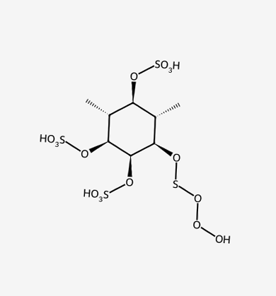 C[C@@H]1[C@@H](OS(=O)(=O)O)[C@H](C)[C@@H](OSOOO)[C@@H](OS(=O)(=O)O)[C@H]1OS(=O)(=O)O